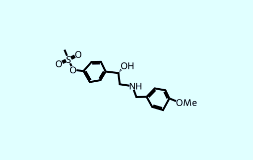 COc1ccc(CNC[C@@H](O)c2ccc(OS(C)(=O)=O)cc2)cc1